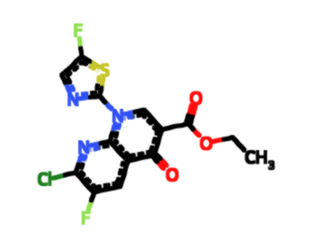 CCOC(=O)c1cn(-c2ncc(F)s2)c2nc(Cl)c(F)cc2c1=O